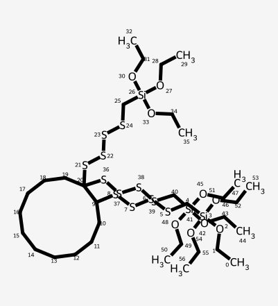 CCO[Si](CSSSSC1CCCCCCCCCCC1(SSSSC[Si](OCC)(OCC)OCC)SSSSC[Si](OCC)(OCC)OCC)(OCC)OCC